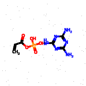 C=CC(=O)OP(=O)(O)O.Nc1nc(N)nc(N)n1